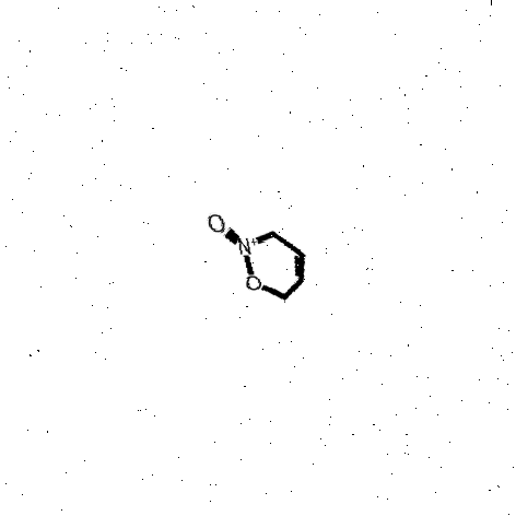 O=[N+]1CC=C[CH]O1